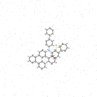 c1ccc(-c2ccc(N(c3ccc(-c4ccccc4-c4ccccc4)cc3-c3ccccc3)c3cccc4c3sc3ccccc34)cc2)cc1